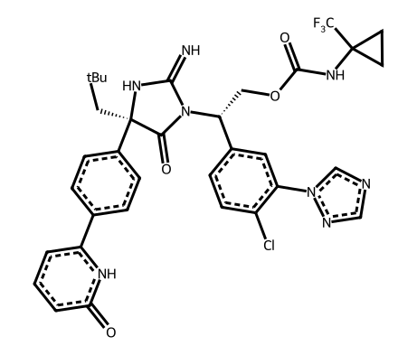 CC(C)(C)C[C@]1(c2ccc(-c3cccc(=O)[nH]3)cc2)NC(=N)N([C@H](COC(=O)NC2(C(F)(F)F)CC2)c2ccc(Cl)c(-n3cncn3)c2)C1=O